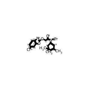 CC1=CC(C)(C)CC(N(C(=O)COc2nc3ccc(Cl)cc3o2)C(C)C)=C1